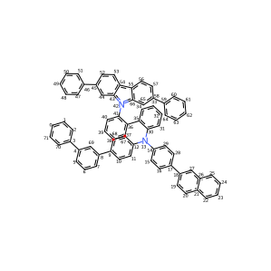 c1ccc(-c2cccc(-c3ccc(N(c4ccc(-c5ccc6ccccc6c5)cc4)c4ccccc4-c4ccccc4-n4c5cc(-c6ccccc6)ccc5c5ccc(-c6ccccc6)cc54)cc3)c2)cc1